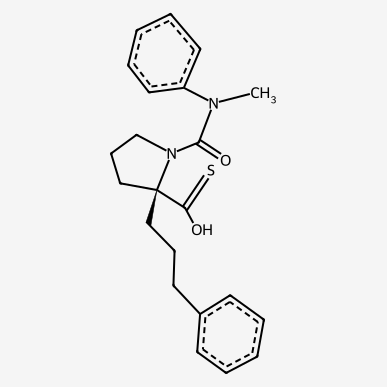 CN(C(=O)N1CCC[C@@]1(CCCc1ccccc1)C(O)=S)c1ccccc1